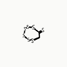 S=C1CSSSSSS1